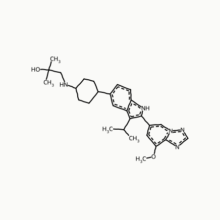 COc1cc(-c2[nH]c3ccc(C4CCC(NCC(C)(C)O)CC4)cc3c2C(C)C)cn2ncnc12